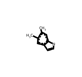 Cc1cc2c(cc1C)[N]C=C2